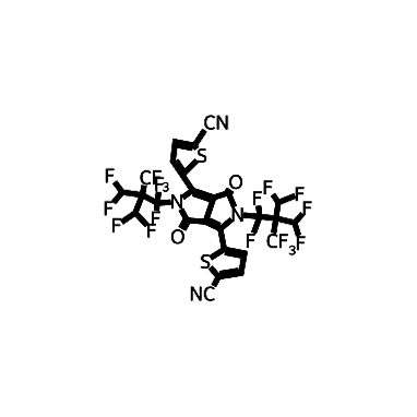 N#Cc1ccc(C2=C3C(=O)N(C(F)(F)C(C(F)F)(C(F)F)C(F)(F)F)C(c4ccc(C#N)s4)=C3C(=O)N2C(F)(F)C(C(F)F)(C(F)F)C(F)(F)F)s1